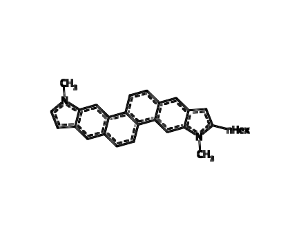 CCCCCCc1cc2cc3ccc4c5cc6c(ccn6C)cc5ccc4c3cc2n1C